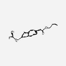 C=CCOC(=O)Cc1ccc2cc(SC(F)F)ccc2c1